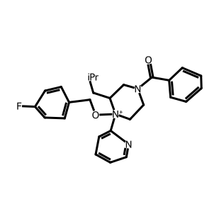 CC(C)CC1CN(C(=O)c2ccccc2)CC[N+]1(OCc1ccc(F)cc1)c1ccccn1